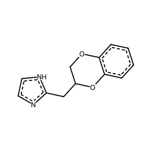 c1ccc2c(c1)OCC(Cc1ncc[nH]1)O2